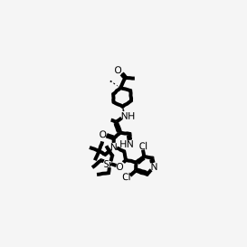 CC[Si](CC)(CC)OC(CN(CC(C)(C)C)C(=O)/C(C=N)=C(\C)N[C@H]1CC[C@](C)(C(C)=O)CC1)c1c(Cl)cncc1Cl